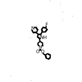 O=C(OCc1ccccc1)N1CCC(c2cc(-c3ccncc3)c(-c3ccc(F)cc3)[nH]2)CC1